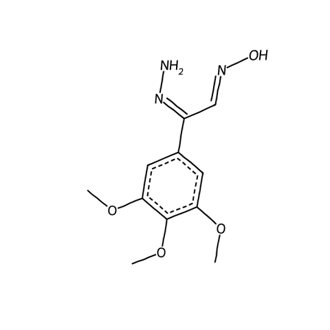 COc1cc(C(/C=N/O)=N/N)cc(OC)c1OC